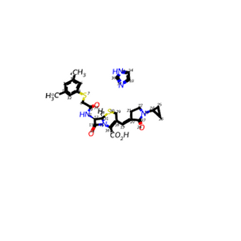 Cc1cc(C)cc(SCC(=O)N[C@@H]2C(=O)N3C(C(=O)O)=C(/C=C4\CCN(C5CC5)C4=O)CS[C@H]23)c1.c1c[nH]cn1